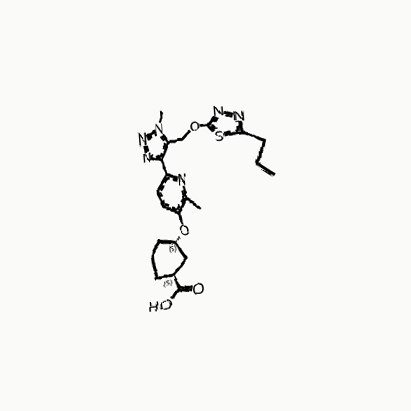 CCCc1nnc(OCc2c(-c3ccc(O[C@H]4CCC[C@H](C(=O)O)C4)c(C)n3)nnn2C)s1